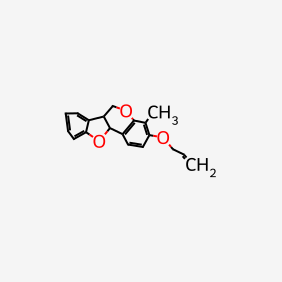 C=CCOc1ccc2c(c1C)OCC1c3ccccc3OC21